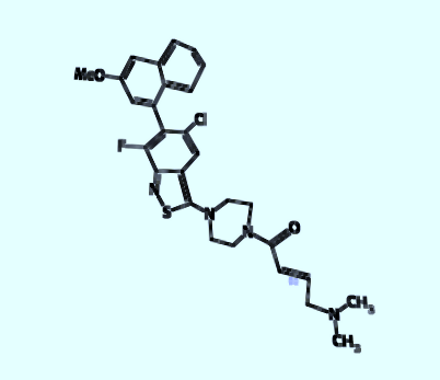 COc1cc(-c2c(Cl)cc3c(N4CCN(C(=O)/C=C/CN(C)C)CC4)snc3c2F)c2ccccc2c1